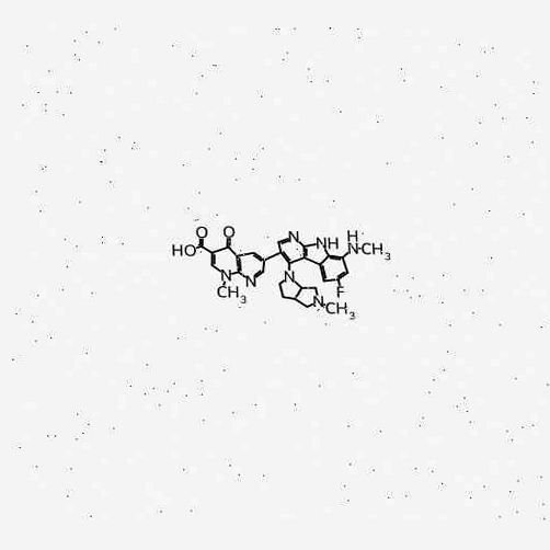 CNc1cc(F)cc2c1[nH]c1ncc(-c3cnc4c(c3)c(=O)c(C(=O)O)cn4C)c(N3CCC4CN(C)CC43)c12